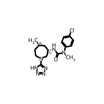 C[C@@H]1CCN(c2nnn[nH]2)C[C@@H](NC(=O)N(C)c2ccc(Cl)cc2)C1